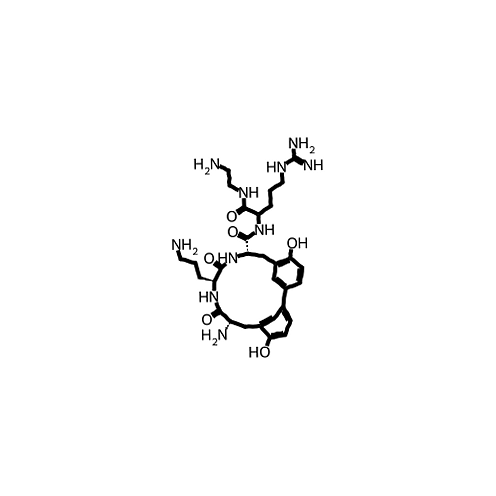 N=C(N)NCCCC(NC(=O)[C@@H]1Cc2cc(ccc2O)-c2ccc(O)c(c2)C[C@H](N)C(=O)N[C@@H](CCCN)C(=O)N1)C(=O)NCCN